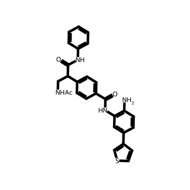 CC(=O)NCC(C(=O)Nc1ccccc1)c1ccc(C(=O)Nc2cc(-c3ccsc3)ccc2N)cc1